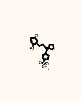 COc1ccc(Cl)cc1CCC1C(c2ccc(S(N)(=O)=O)cc2)C12CCCC2